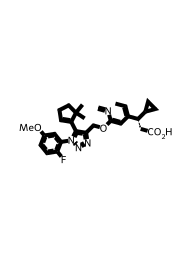 C=N/C(=C\C(=C/C)[C@@H](CC(=O)O)C1CC1)OCc1nnn(-c2cc(OC)ccc2F)c1C1=CCCC1(C)C